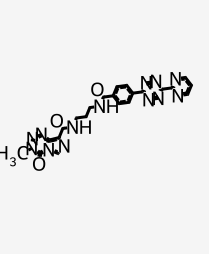 Cn1nnc2c(C(=O)NCCCNC(=O)c3ccc(-c4nnc(-c5ncccn5)nn4)cc3)ncn2c1=O